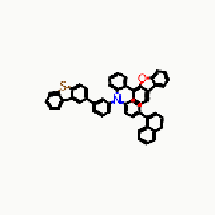 c1cc(-c2ccc3sc4ccccc4c3c2)cc(N(c2ccc(-c3cccc4ccccc34)cc2)c2ccccc2-c2cccc3c2oc2ccccc23)c1